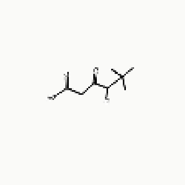 CC(C)(C)C(Cl)C(=O)CC(=O)O